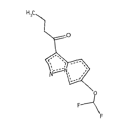 CCCC(=O)c1cnn2cc(OC(F)F)ccc12